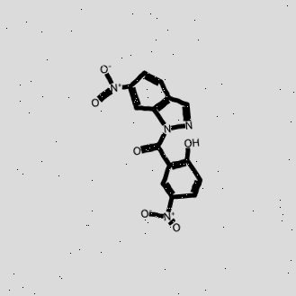 O=C(c1cc([N+](=O)[O-])ccc1O)n1ncc2ccc([N+](=O)[O-])cc21